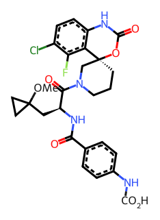 COC1(C[C@H](NC(=O)c2ccc(NC(=O)O)cc2)C(=O)N2CCC[C@@]3(C2)OC(=O)Nc2ccc(Cl)c(F)c23)CC1